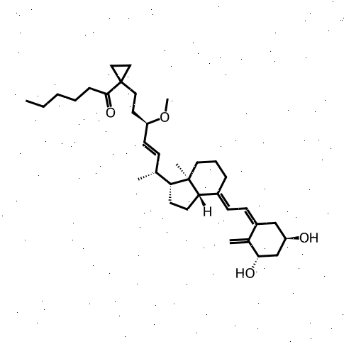 C=C1/C(=C\C=C2/CCC[C@]3(C)[C@@H]([C@H](C)/C=C/[C@@H](CCC4(C(=O)CCCCC)CC4)OC)CC[C@@H]23)C[C@@H](O)C[C@@H]1O